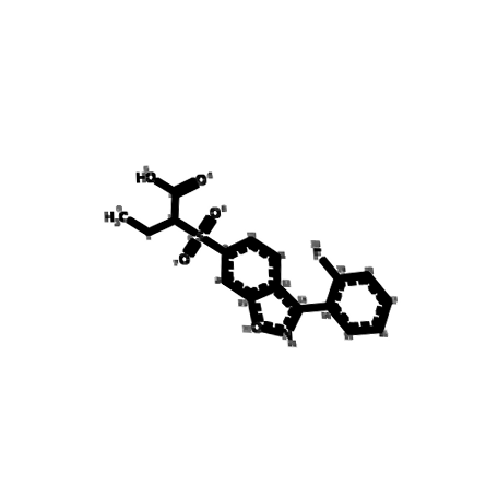 CCC(C(=O)O)S(=O)(=O)c1ccc2c(-c3ccccc3F)noc2c1